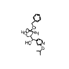 CC(C)Oc1cc(C(O)[C@@H](CO)NC(=O)OCc2ccccc2)ccn1